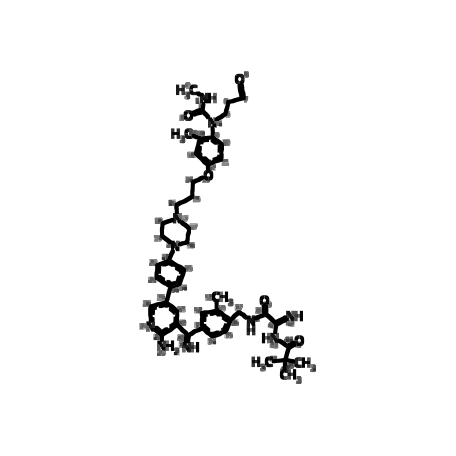 CNC(=O)N(CCC=O)c1ccc(OCCCN2CCN(c3ccc(-c4cnc(N)c(C(=N)c5ccc(CNC(=O)C(=N)NC(=O)C(C)(C)C)c(C)c5)c4)cc3)CC2)cc1C